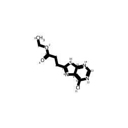 CCOC(=O)CCc1nc2c(Cl)ncnc2s1